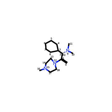 C=C([C@H](C1CCCCC1)N(C)C)N1CCN(C)CC1